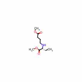 CC[C@@H](NCCCC(=O)OC)C(=O)OC